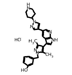 Cc1nn(Cc2cccc(O)c2)c(C)c1-c1c[nH]c2ncc(-c3cnn(C4CCNCC4)c3)cc12.Cl